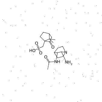 CC(=O)NC1C2CCN(CC2)C1N.CC1(C)C2CCC1(CS(=O)(=O)O)C(=O)C2